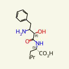 CC(C)C[C@H](NC(=O)[C@H](O)C(N)Cc1ccccc1)C(=O)O